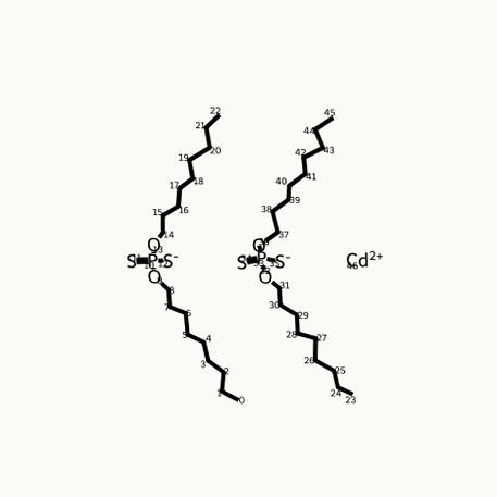 CCCCCCCCCOP(=S)([S-])OCCCCCCCCC.CCCCCCCCCOP(=S)([S-])OCCCCCCCCC.[Cd+2]